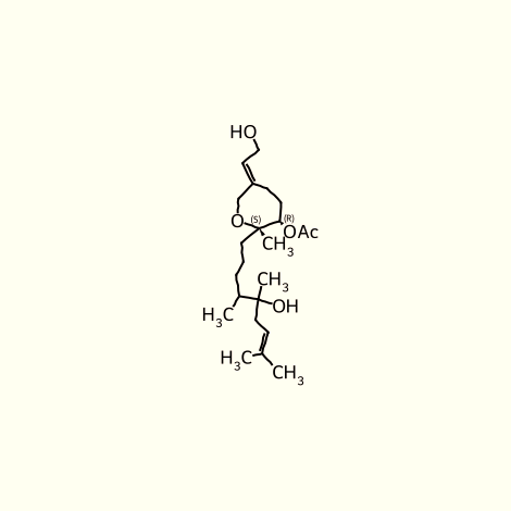 CC(=O)O[C@@H]1CCC(=CCO)CO[C@@]1(C)CCCC(C)C(C)(O)CC=C(C)C